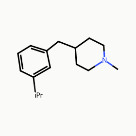 CC(C)c1cccc(CC2CCN(C)CC2)c1